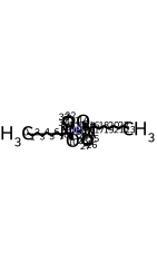 CCCCCCCCN1C(=O)/C(=C2/C(=O)N(CCCCCCCC)c3ccccc32)c2ccccc21